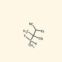 CCC(C#N)C(C)(C#N)S(C)(F)F